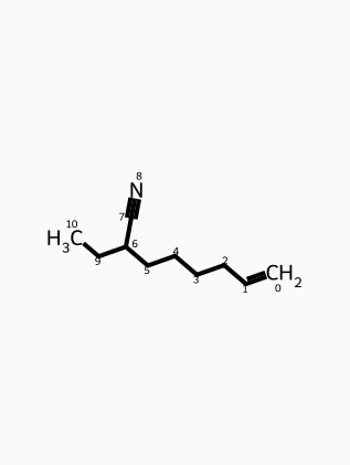 C=CCCCCC(C#N)CC